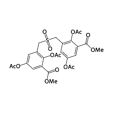 COC(=O)c1cc(OC(C)=O)cc(CS(=O)(=O)Cc2cc(OC(C)=O)cc(C(=O)OC)c2OC(C)=O)c1OC(C)=O